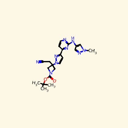 Cn1cc(Nc2nccc(-c3ccn(C4(CC#N)CN(C(=O)OC(C)(C)C)C4)n3)n2)cn1